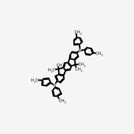 Cc1ccc(N(c2ccc(C)cc2)c2ccc3c(c2)C(C)(C)c2cc4c(cc2-3)C(C)(C)c2cc(N(c3ccc(C)cc3)c3ccc(C)cc3)ccc2-4)cc1